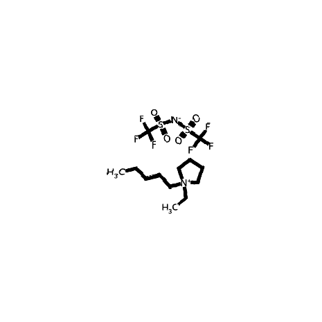 CCCCC[N+]1(CC)CCCC1.O=S(=O)([N-]S(=O)(=O)C(F)(F)F)C(F)(F)F